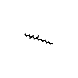 [CH2]CCCCCCCC(=O)CCCCCC